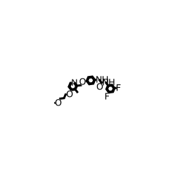 COCCCOc1ccnc(COc2ccc(NC(=O)Nc3cc(F)cc(F)c3)cc2)c1C